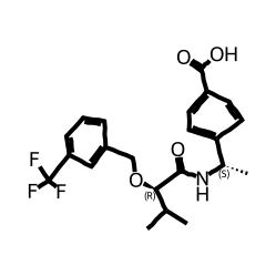 CC(C)[C@@H](OCc1cccc(C(F)(F)F)c1)C(=O)N[C@@H](C)c1ccc(C(=O)O)cc1